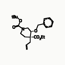 C=CC[C@@]1(C(=O)OCC)CCN(C(=O)OC(C)(C)C)C[C@@H]1OCc1ccccc1